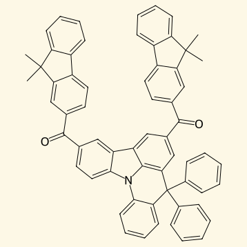 CC1(C)c2ccccc2-c2ccc(C(=O)c3ccc4c(c3)c3cc(C(=O)c5ccc6c(c5)C(C)(C)c5ccccc5-6)cc5c3n4-c3ccccc3C5(c3ccccc3)c3ccccc3)cc21